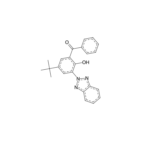 CC(C)(C)c1cc(C(=O)c2ccccc2)c(O)c(-n2nc3ccccc3n2)c1